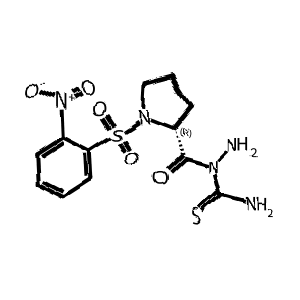 NC(=S)N(N)C(=O)[C@H]1CCCN1S(=O)(=O)c1ccccc1[N+](=O)[O-]